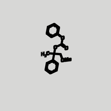 COCC(C)(OC(=O)Oc1ccccc1)c1ccccc1